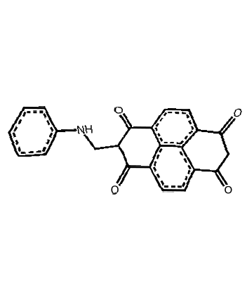 O=C1CC(=O)c2ccc3c4c(ccc1c24)C(=O)C(CNc1ccccc1)C3=O